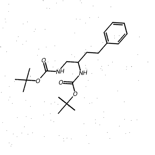 CC(C)(C)OC(=O)NCC([CH]Cc1ccccc1)NC(=O)OC(C)(C)C